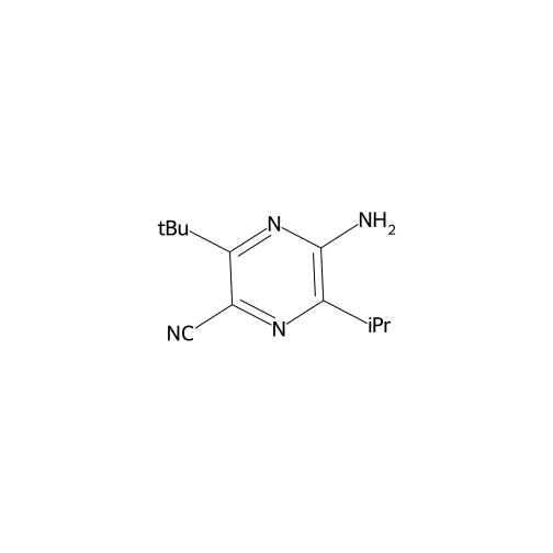 CC(C)c1nc(C#N)c(C(C)(C)C)nc1N